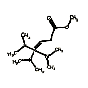 COC(=O)CC=P(N(C)C)(N(C)C)N(C)C